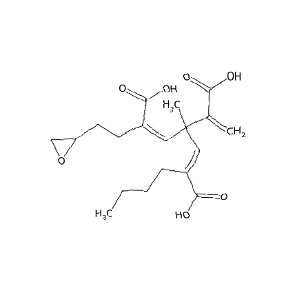 C=C(C(=O)O)C(C)(C=C(CCCC)C(=O)O)C=C(CCC1CO1)C(=O)O